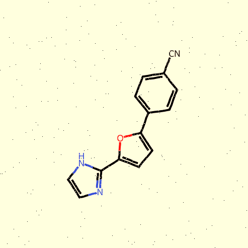 N#Cc1ccc(-c2ccc(-c3ncc[nH]3)o2)cc1